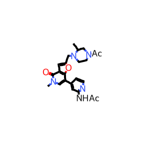 CC(=O)Nc1cc(-c2cn(C)c(=O)c3cc(CN4CCN(C(C)=O)CC4C)oc23)ccn1